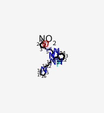 O=[N+]([O-])c1ccc(/C=C/c2nc(NCCCN3CCCC3)c3c(F)cccc3n2)o1